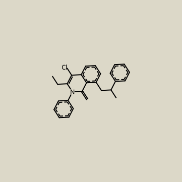 C=C1c2c(CC(C)c3ccccc3)cccc2C(Cl)=C(CC)N1c1ccccc1